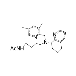 CC(=O)NCCCCN(Cc1ncc(C)cc1C)[C@H]1CCCc2cccnc21